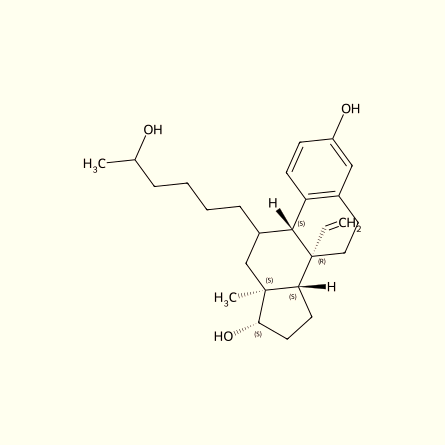 C=C[C@@]12CCc3cc(O)ccc3[C@H]1C(CCCCC(C)O)C[C@@]1(C)[C@H]2CC[C@@H]1O